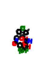 CC(=O)NCCC[C@@](O)(c1cccc(Cl)c1-c1cccc(C)c1)[C@@H]1CCCN(C(=O)c2ccc(C(O)(C(F)(F)F)C(F)(F)F)cc2)C1